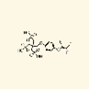 O=S(=O)(O)CC(COc1ccc(OC(F)=C(F)F)cc1)(CS(=O)(=O)O)CS(=O)(=O)O